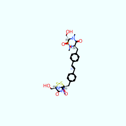 CN1C(=O)[C@]2(Cc3ccc(/C=C/c4ccc(C[C@@]56SS[C@@](CO)(C(=O)N5C)N(C)C6=O)cc4)cc3)SS[C@@]1(CO)C(=O)N2C